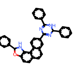 c1ccc(C2=NC(c3ccc4c(ccc5ccc6c(c54)NC(c4ccccc4)O6)c3)=NC(c3ccccc3)N2)cc1